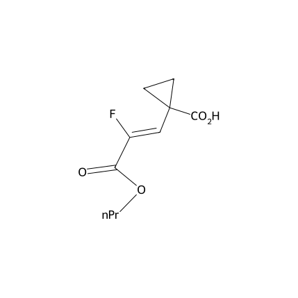 CCCOC(=O)C(F)=CC1(C(=O)O)CC1